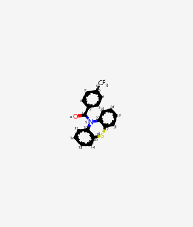 O=C(c1ccc(C(F)(F)F)cc1)N1c2ccccc2Sc2ccccc21